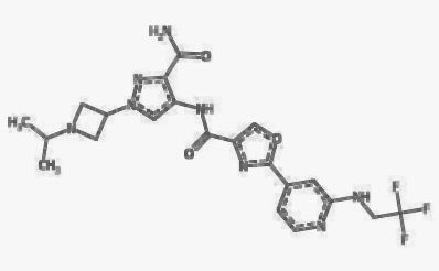 CC(C)N1CC(n2cc(NC(=O)c3coc(-c4ccnc(NCC(F)(F)F)c4)n3)c(C(N)=O)n2)C1